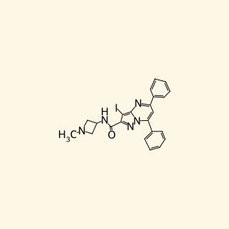 CN1CC(NC(=O)c2nn3c(-c4ccccc4)cc(-c4ccccc4)nc3c2I)C1